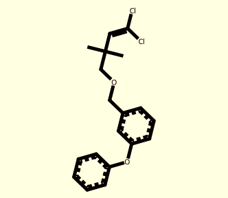 CC(C)(C=C(Cl)Cl)COCc1cccc(Oc2ccccc2)c1